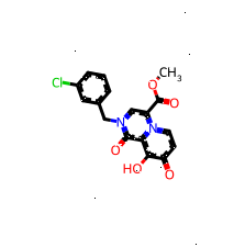 COC(=O)c1cn(Cc2cccc(Cl)c2)c(=O)c2c(O)c(=O)ccn12